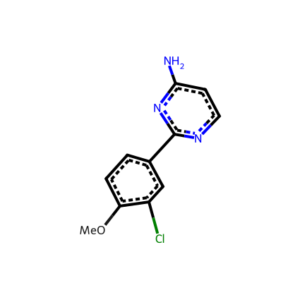 COc1ccc(-c2nccc(N)n2)cc1Cl